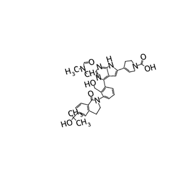 CC(C)(O)c1ccc2c(c1)CCN(c1cccc(-c3ncnc4[nH]c(C5=CCN(C(=O)O)CC5)cc34)c1CO)C2=O.CN(C)C=O